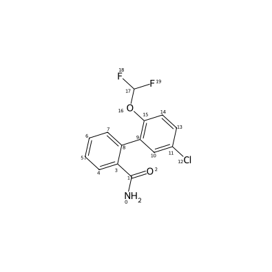 NC(=O)c1c[c]ccc1-c1cc(Cl)ccc1OC(F)F